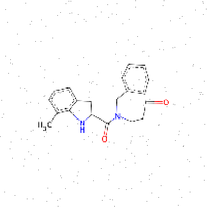 Cc1cccc2c1NC(C(=O)N1CCC(=O)c3ccccc3C1)C2